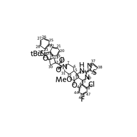 COC(=O)C1=C(C2CCN(S(=O)(=O)C3CC(O[Si](c4ccccc4)(c4ccccc4)C(C)(C)C)C3)CC2)NC(c2nccs2)=NC1c1ccc(F)cc1Cl